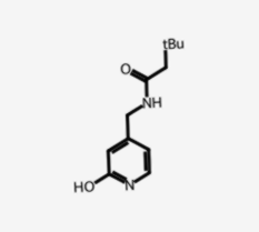 CC(C)(C)CC(=O)NCc1ccnc(O)c1